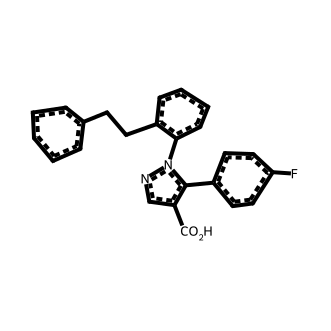 O=C(O)c1cnn(-c2ccccc2CCc2ccccc2)c1-c1ccc(F)cc1